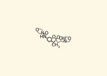 Cc1c(CC(O)CN2CCOCC2)c(=O)oc2cc(NC(=O)N3CCOCC3)ccc12